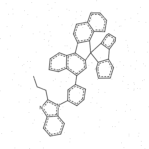 CCCc1nc2ccccc2n1-c1cccc(-c2cc3c(c4ccccc24)-c2ccc4ccccc4c2C32c3ccccc3-c3ccccc32)c1